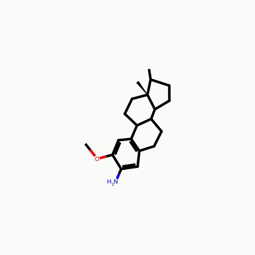 COc1cc2c(cc1N)CCC1C2CC[C@]2(C)C(C)CCC12